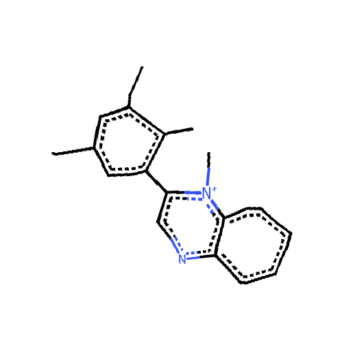 Cc1cc(C)c(C)c(-c2cnc3ccccc3[n+]2C)c1